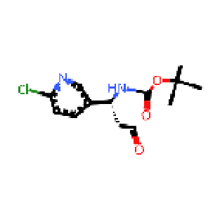 CC(C)(C)OC(=O)N[C@H](CC=O)c1ccc(Cl)nc1